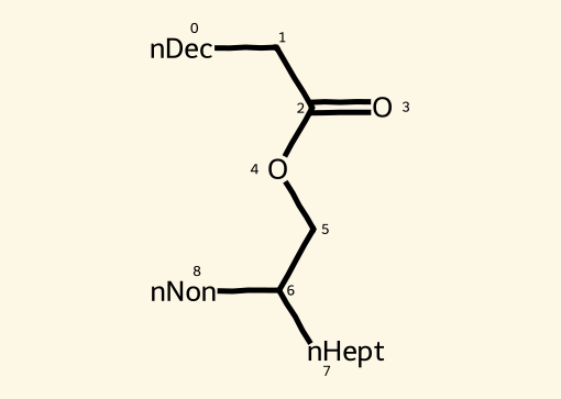 CCCCCCCCCCCC(=O)OCC(CCCCCCC)CCCCCCCCC